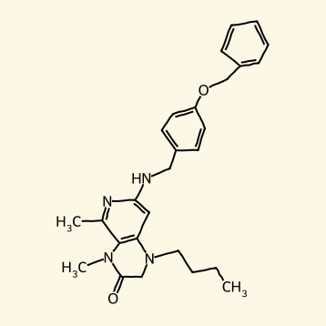 CCCCN1CC(=O)N(C)c2c1cc(NCc1ccc(OCc3ccccc3)cc1)nc2C